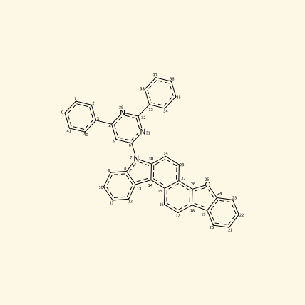 c1ccc(-c2cc(-n3c4ccccc4c4c5ccc6c7ccccc7oc6c5ccc43)nc(-c3ccccc3)n2)cc1